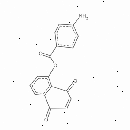 Nc1ccc(C(=O)Oc2cccc3c2C(=O)C=CC3=O)cc1